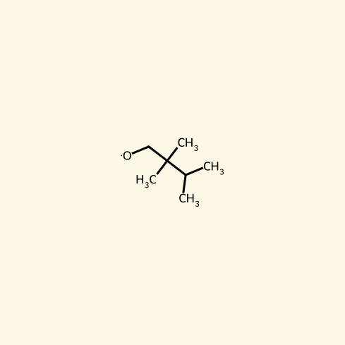 CC(C)C(C)(C)C[O]